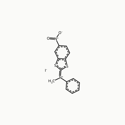 C[N+](c1ccccc1)=c1sc2ccc([N+](=O)[O-])cc2s1.[I-]